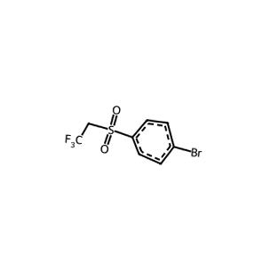 O=S(=O)(CC(F)(F)F)c1ccc(Br)cc1